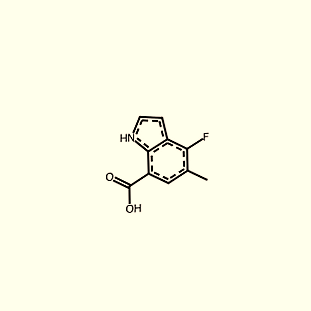 Cc1cc(C(=O)O)c2[nH]ccc2c1F